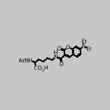 CCN(CC)c1ccc2cc(C(=O)NCCCCC(NC(C)=O)C(=O)O)c(=O)oc2c1